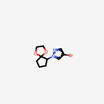 Brc1cnn(C2CCCC23OCCO3)c1